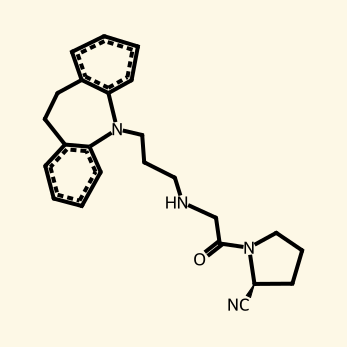 N#C[C@@H]1CCCN1C(=O)CNCCCN1c2ccccc2CCc2ccccc21